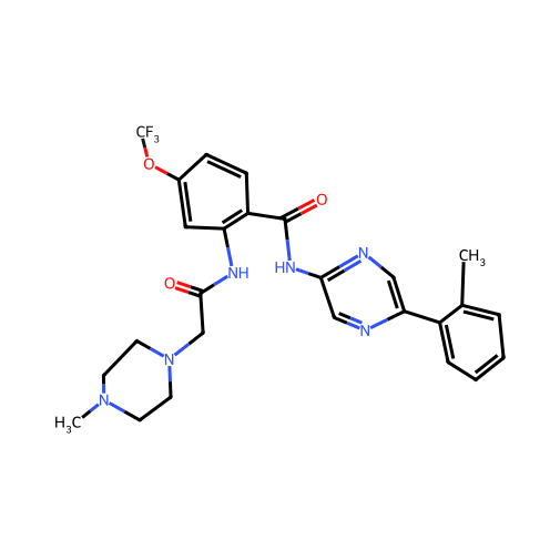 Cc1ccccc1-c1cnc(NC(=O)c2ccc(OC(F)(F)F)cc2NC(=O)CN2CCN(C)CC2)cn1